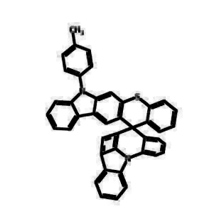 Cc1ccc(-n2c3ccccc3c3cc4c(cc32)Sc2ccccc2C42c3ccccc3-n3c4ccccc4c4cccc2c43)cc1